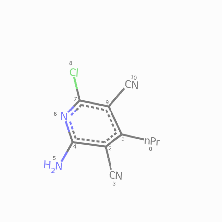 CCCc1c(C#N)c(N)nc(Cl)c1C#N